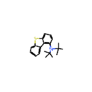 CC(C)(C)N(c1cccc2sc3ccccc3c12)C(C)(C)C